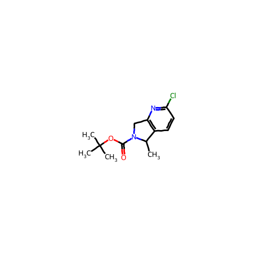 CC1c2ccc(Cl)nc2CN1C(=O)OC(C)(C)C